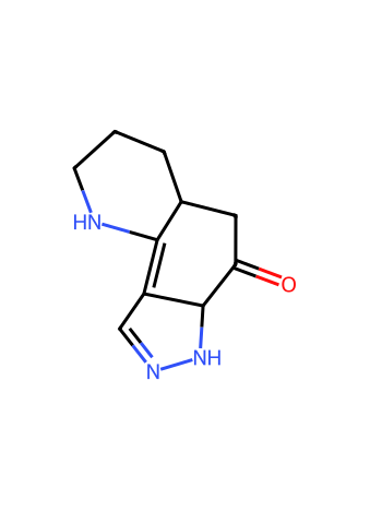 O=C1CC2CCCNC2=C2C=NNC12